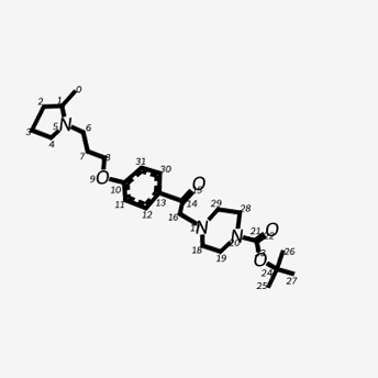 CC1CCCN1CCCOc1ccc(C(=O)CN2CCN(C(=O)OC(C)(C)C)CC2)cc1